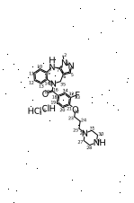 Cl.Cl.Cn1ncc2c1Nc1ccccc1N(C(=O)c1ccc(OCCCN3CCNCC3)c(F)c1)C2